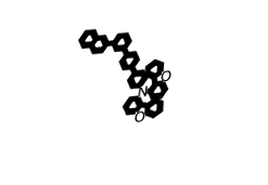 c1cc(-c2ccc(-c3ccc(N(c4cccc5oc6ccccc6c45)c4cccc5oc6ccccc6c45)cc3)cc2)cc(-c2ccc3ccccc3c2)c1